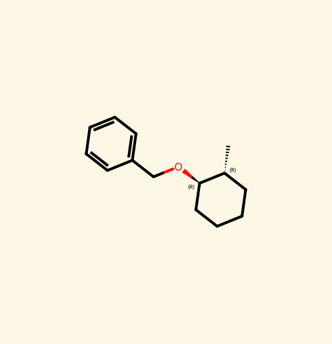 C[C@@H]1CCCC[C@H]1OCc1ccccc1